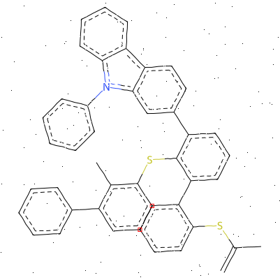 C=C(C)Sc1ccccc1-c1cccc(-c2ccc3c4ccccc4n(-c4ccccc4)c3c2)c1Sc1cccc(-c2ccccc2)c1C